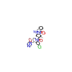 Cc1ccccc1C(=O)Nc1ccc(C(=O)N2CCCC(CC(=O)N3CCN(C)CC3)c3cc(Cl)ccc32)c(C)c1